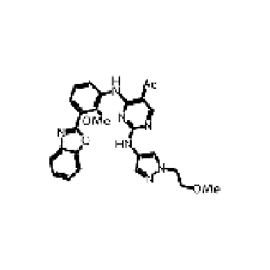 COCCn1cc(Nc2ncc(C(C)=O)c(Nc3cccc(-c4nc5ccccc5o4)c3OC)n2)cn1